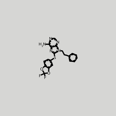 Nc1ncnc2c1nc(Sc1ccc3c(c1)OC(F)(F)O3)n2CCc1ccccc1